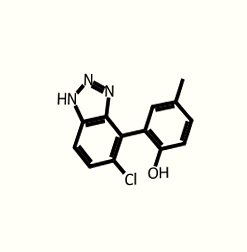 Cc1ccc(O)c(-c2c(Cl)ccc3[nH]nnc23)c1